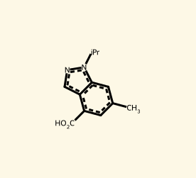 Cc1cc(C(=O)O)c2cnn(C(C)C)c2c1